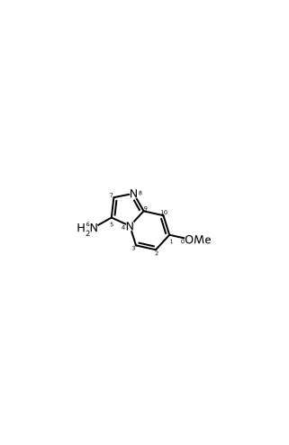 COc1ccn2c(N)cnc2c1